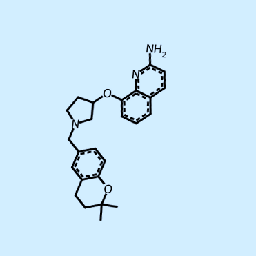 CC1(C)CCc2cc(CN3CCC(Oc4cccc5ccc(N)nc45)C3)ccc2O1